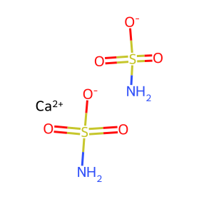 NS(=O)(=O)[O-].NS(=O)(=O)[O-].[Ca+2]